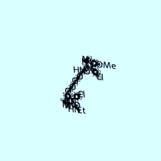 CCNC(=O)C[C@@H]1N=C(c2ccc(Cl)cc2)c2cc(OCCOCCOCCOCCNC(=O)C[C@@H]3N=C(c4ccc(Cl)cc4)c4cc(OC)ccc4-n4c(C)nnc43)ccc2-n2c(C)nnc21